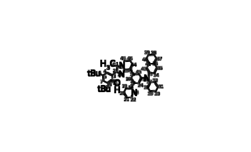 Cc1c(-c2cc(C(C)(C)C)cc(C(C)(C)C)c2O)nc2c(-c3cc(-c4ccccn4)cc(N(c4ccccc4)c4ccc5ccccc5c4)c3)cccn12